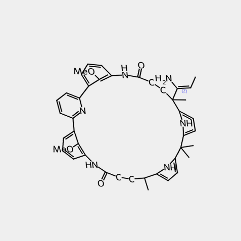 C/C=C(\N)C1(C)CCC(=O)Nc2cccc(c2OC)-c2cccc(n2)-c2cccc(c2OC)NC(=O)CCC(C)c2ccc([nH]2)C(C)(C)c2ccc1[nH]2